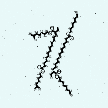 CCC(CCCCCCCCCCCCCC(=O)OCCCCCC(C)C)C(=O)OCCCCCC(C)C.CCCCCCCCOC(=O)CCCCCCCCCCCCCC(CC)C(=O)OCCCCCCCC